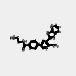 Nc1ncc(-c2ccc(C(=O)NCCO)cc2)cc1-c1nc2cccnc2o1